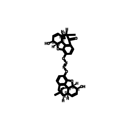 CN1CC[C@]23c4c5ccc(ON=NOc6ccc7c8c6O[C@H]6[C@@H](O)C=C[C@H]9[C@@H](C7=O)N(C)CC[C@@]896)c4O[C@H]2[C@@H](O)C=C[C@H]3[C@H]1C5